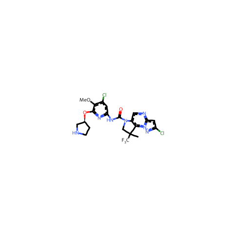 COc1c(Cl)cc(NC(=O)N2CC(C)(C(F)(F)F)c3c2cnc2cc(Cl)nn32)nc1O[C@H]1CCNC1